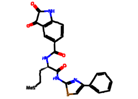 CSCC[C@H](NC(=O)c1ccc2c(c1)C(=O)C(=O)N2)C(=O)Nc1nc(-c2ccccc2)cs1